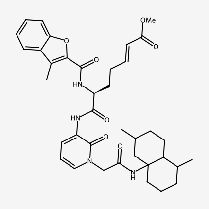 COC(=O)/C=C/CC[C@H](NC(=O)c1oc2ccccc2c1C)C(=O)Nc1cccn(CC(=O)NC23CCCC(C)C2CCC(C)C3)c1=O